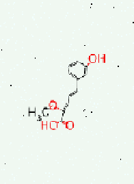 COC(=CC=Cc1cccc(O)c1)C(=O)O